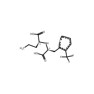 CCC[C@H](N[C@@H](Cc1ccccc1C(F)(F)F)C(=O)O)C(=O)O